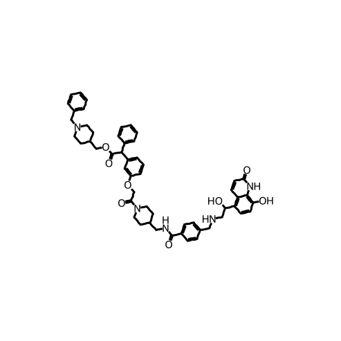 O=C(NCC1CCN(C(=O)COc2cccc(C(C(=O)OCC3CCN(Cc4ccccc4)CC3)c3ccccc3)c2)CC1)c1ccc(CNCC(O)c2ccc(O)c3[nH]c(=O)ccc23)cc1